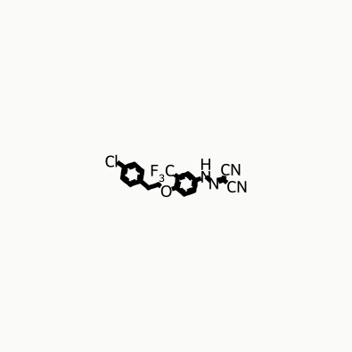 N#CC(C#N)=NNc1ccc(OCCc2ccc(Cl)cc2)c(C(F)(F)F)c1